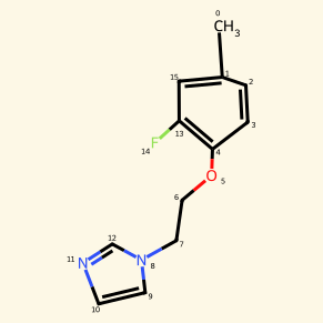 Cc1ccc(OCCn2ccnc2)c(F)c1